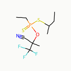 CCC(C)SP(=S)(CC)OC(C)(C#N)C(F)(F)F